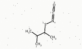 CC(C)C(C)SN=C=O